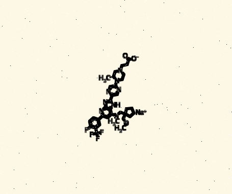 COCC1(CN(C)c2cc(-c3ccc(F)c(C(F)(F)F)c3)nc3nc(-c4cnc(N5CCN(CCC(=O)[O-])C[C@H]5C)cn4)[nH]c23)CCCC1.[Na+]